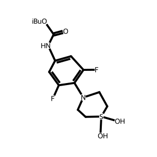 CC(C)COC(=O)Nc1cc(F)c(N2CCS(O)(O)CC2)c(F)c1